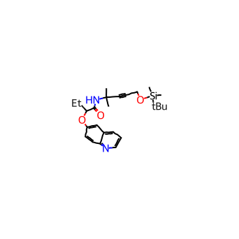 CCC(Oc1ccc2ncccc2c1)C(=O)NC(C)(C)C#CCO[Si](C)(C)C(C)(C)C